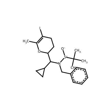 CC1=C(I)CCC(C(C2CC2)N(Cc2ccccc2)[S+]([O-])C(C)(C)C)O1